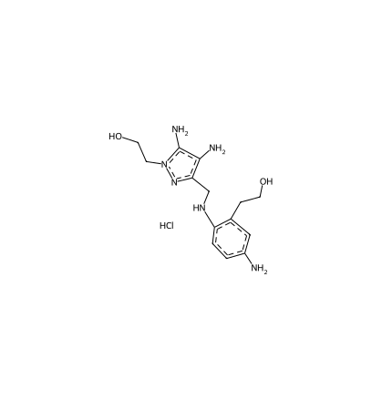 Cl.Nc1ccc(NCc2nn(CCO)c(N)c2N)c(CCO)c1